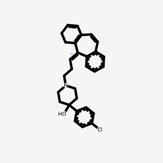 OC1(c2ccc(Cl)cc2)CCN(CC/C=C2/C3=C(C=CCC3)C=Cc3ccccc32)CC1